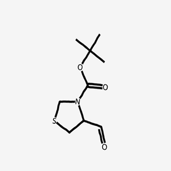 CC(C)(C)OC(=O)N1CSCC1C=O